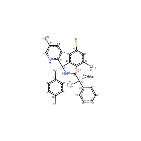 CO[C@](C(=O)N[C@](Cc1ccc(C)cc1)(c1cc(F)cc(C(F)(F)F)c1)c1ccc(Cl)cn1)(c1ccccc1)C(F)(F)F